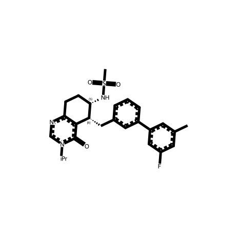 Cc1cc(F)cc(-c2cccc(C[C@@H]3c4c(ncn(C(C)C)c4=O)CC[C@@H]3NS(C)(=O)=O)c2)c1